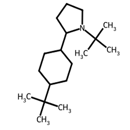 CC(C)(C)C1CCC(C2CCCN2C(C)(C)C)CC1